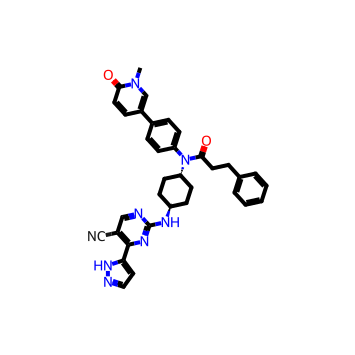 Cn1cc(-c2ccc(N(C(=O)CCc3ccccc3)[C@H]3CC[C@H](Nc4ncc(C#N)c(-c5ccn[nH]5)n4)CC3)cc2)ccc1=O